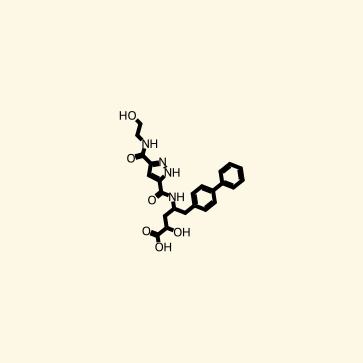 O=C(NCCO)c1cc(C(=O)NC(Cc2ccc(-c3ccccc3)cc2)CC(O)C(=O)O)[nH]n1